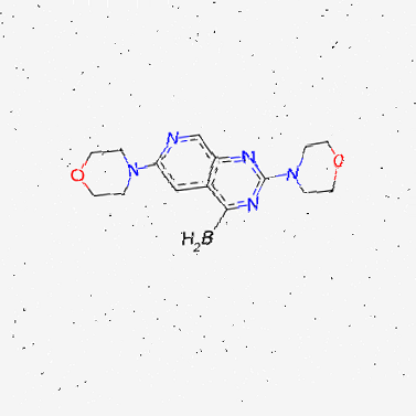 Bc1nc(N2CCOCC2)nc2cnc(N3CCOCC3)cc12